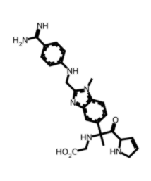 Cn1c(CNc2ccc(C(=N)N)cc2)nc2cc(C(C)(NCC(=O)O)C(=O)C3C=CCN3)ccc21